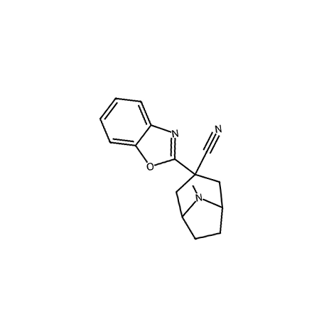 CN1C2CCC1CC(C#N)(c1nc3ccccc3o1)C2